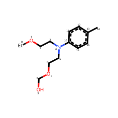 CCOCCN(CCOCO)c1ccc(C)cc1